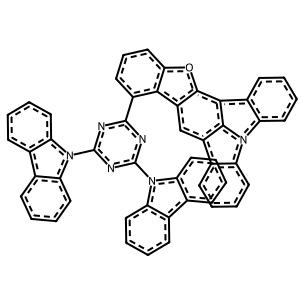 c1cc(-c2nc(-n3c4ccccc4c4ccccc43)nc(-n3c4ccccc4c4ccccc43)n2)c2c(c1)oc1c2cc2c3ccccc3n3c4ccccc4c1c23